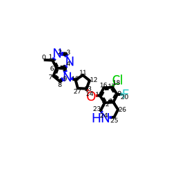 Cc1ncnc2c1ccn2C1CCC(Oc2cc(Cl)c(F)c3c2CNCC3)C1